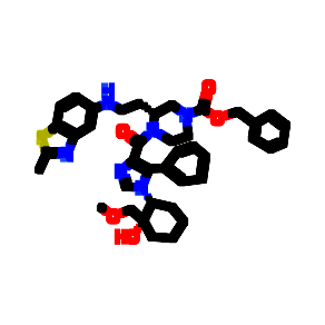 COC[C@]1(O)CCCC[C@H]1n1cnc(C(=O)N2CCN(C(=O)OCc3ccccc3)C[C@H]2CCNc2ccc3sc(C)nc3c2)c1-c1ccccc1